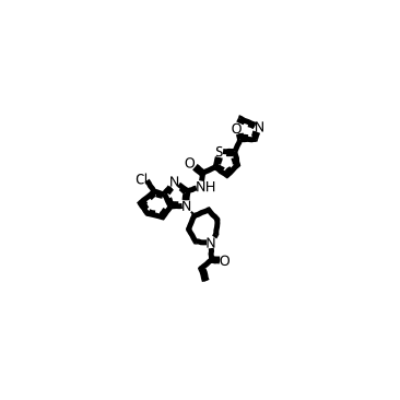 C=CC(=O)N1CCC[C@@H](n2c(NC(=O)c3ccc(-c4cnco4)s3)nc3c(Cl)cccc32)CC1